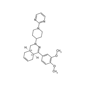 COc1ccc(C2=NN(C3CCN(c4ncccn4)CC3)C[C@@H]3CC=CC[C@H]23)cc1OC